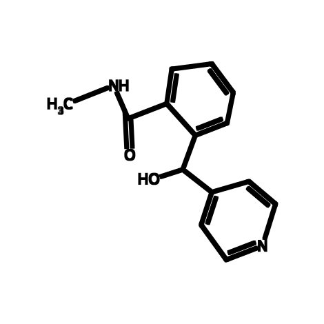 CNC(=O)c1ccccc1C(O)c1ccncc1